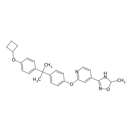 CC1NC(c2ccnc(Oc3ccc(C(C)(C)c4ccc(OC5CCC5)cc4)cc3)c2)=NO1